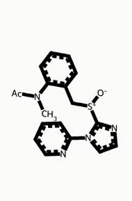 CC(=O)N(C)c1ccccc1C[S+]([O-])c1nccn1-c1ccccn1